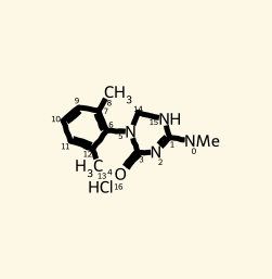 CNC1=NC(=O)N(c2c(C)cccc2C)CN1.Cl